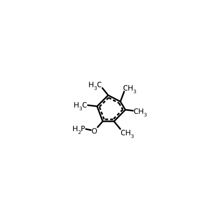 Cc1c(C)c(C)c(OP)c(C)c1C